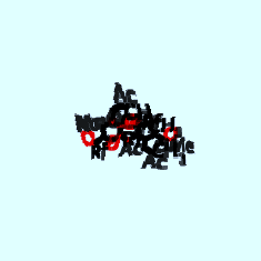 COC(=O)C(C)C(CC(C)C(C)=O)C([C](=O)[Rf])C(C(C)=O)C(CC([C](=O)[Rf])C(C(C)=O)C(CC(C)C(C)=O)C(C)[C](=O)[Rf])C(=O)OC